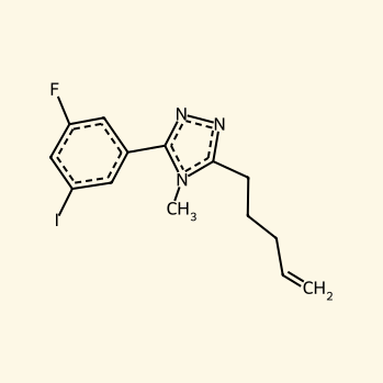 C=CCCCc1nnc(-c2cc(F)cc(I)c2)n1C